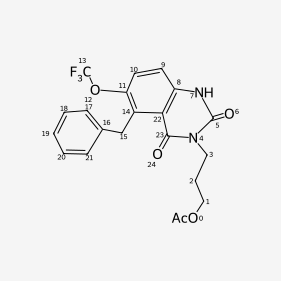 CC(=O)OCCCn1c(=O)[nH]c2ccc(OC(F)(F)F)c(Cc3ccccc3)c2c1=O